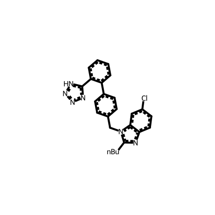 CCCCc1nc2ccc(Cl)cc2n1Cc1ccc(-c2ccccc2-c2nnn[nH]2)cc1